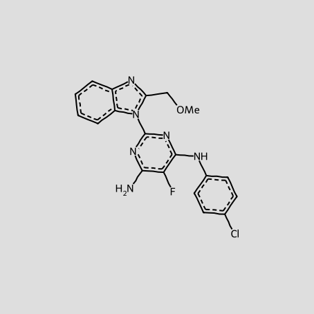 COCc1nc2ccccc2n1-c1nc(N)c(F)c(Nc2ccc(Cl)cc2)n1